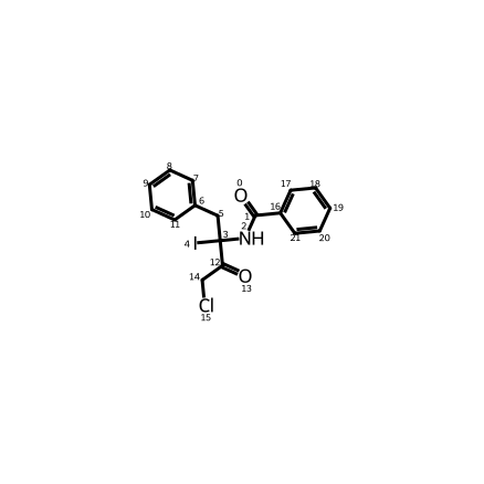 O=C(NC(I)(Cc1ccccc1)C(=O)CCl)c1ccccc1